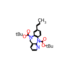 C/C=C/c1ccc2c(c1)N(C(=O)OC(C)(C)C)Cc1cccnc1N2C(=O)OC(C)(C)C